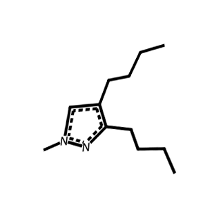 CCCCc1cn(C)nc1CCCC